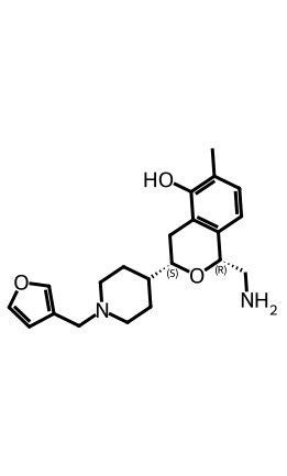 Cc1ccc2c(c1O)C[C@@H](C1CCN(Cc3ccoc3)CC1)O[C@H]2CN